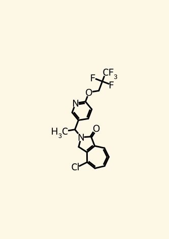 CC(c1ccc(OCC(F)(F)C(F)(F)F)nc1)N1CC2=C(C=C=CC=C2Cl)C1=O